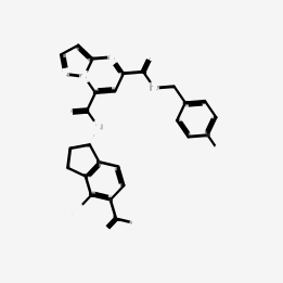 Cc1c(C(=O)O)ccc2c1CC[C@@H]2NC(=O)c1cc(C(=O)NCc2ccc(F)cc2)nc2ccnn12